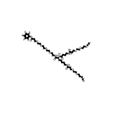 [N-]=[N+]=NCCOCCOCCC(=O)NCCCCC[C@H](NC(=O)CCCNC(=O)CCOCCOCCN=[N+]=[N-])C(=O)NCCOCCOCCOCCOCCC(=O)Oc1c(F)c(F)c(F)c(F)c1F